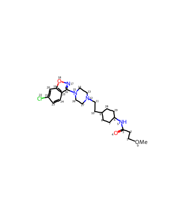 COCCC(=O)NC1CCC(CCN2CCN(c3noc4cc(Cl)ccc34)CC2)CC1